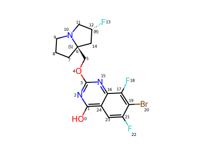 Oc1nc(OC[C@@]23CCCN2C[C@H](F)C3)nc2c(F)c(Br)c(F)cc12